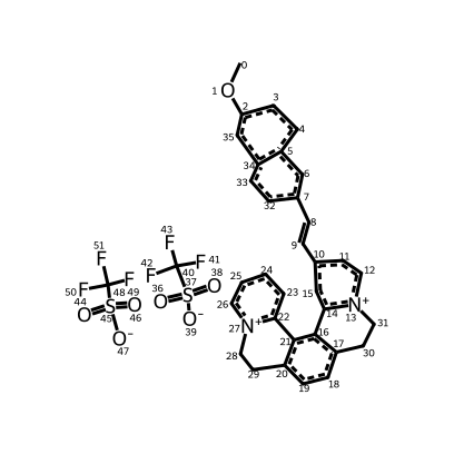 COc1ccc2cc(C=Cc3cc[n+]4c(c3)-c3c(ccc5c3-c3cccc[n+]3CC5)CC4)ccc2c1.O=S(=O)([O-])C(F)(F)F.O=S(=O)([O-])C(F)(F)F